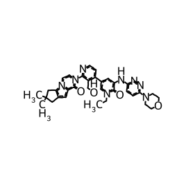 CCn1cc(-c2ccnc(-n3ccn4c5c(cc4c3=O)CC(C)(C)C5)c2CO)cc(Nc2ccc(N3CCOCC3)nn2)c1=O